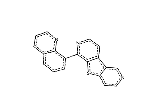 c1cnc2c(-c3nccc4c3sc3ccncc34)cccc2c1